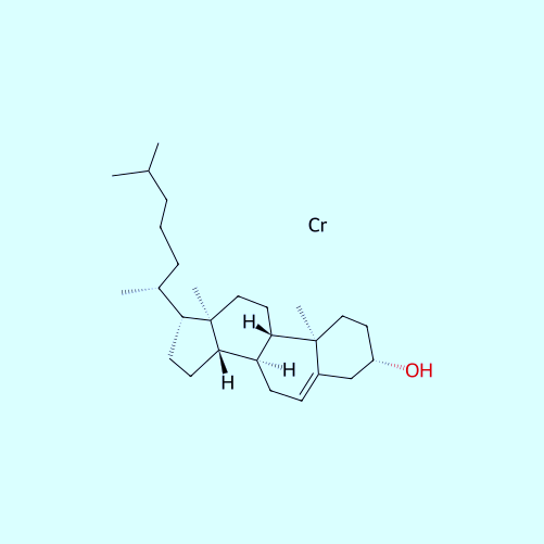 CC(C)CCC[C@@H](C)[C@H]1CC[C@H]2[C@@H]3CC=C4C[C@@H](O)CC[C@]4(C)[C@H]3CC[C@]12C.[Cr]